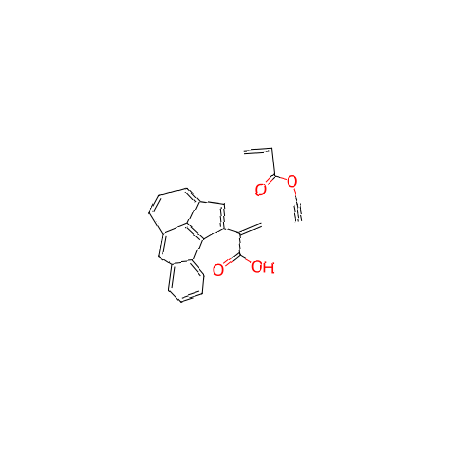 C#COC(=O)C=C.C=C(C(=O)O)C1=Cc2cccc3cc4ccccc4c1c23